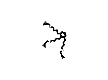 c1cc(CCCCOCC2CO2)c(CCCCOCC2CO2)c(CCCCOCC2CO2)c1